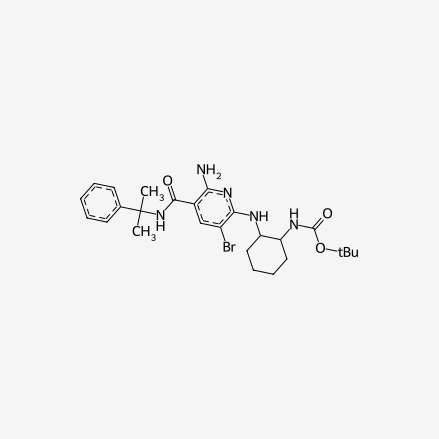 CC(C)(C)OC(=O)NC1CCCCC1Nc1nc(N)c(C(=O)NC(C)(C)c2ccccc2)cc1Br